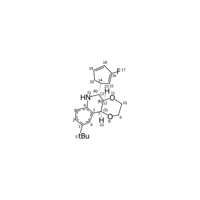 CC(C)(C)c1ccc2c(c1)[C@@H]1OCCO[C@@H]1[C@@H](C1C=C(F)C=CC1)N2